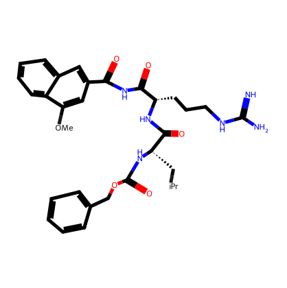 COc1cc(C(=O)NC(=O)[C@H](CCCNC(=N)N)NC(=O)[C@H](CC(C)C)NC(=O)OCc2ccccc2)cc2ccccc12